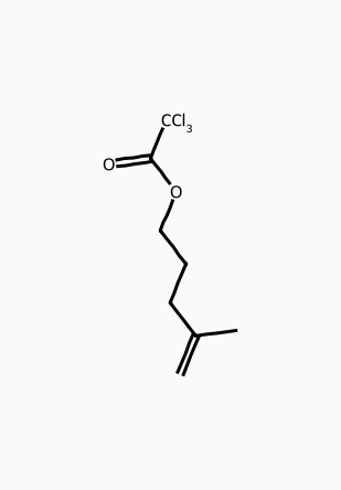 C=C(C)CCCOC(=O)C(Cl)(Cl)Cl